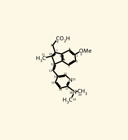 COc1ccc2c(c1)C(CC(=O)O)=C(C)/C2=C/c1ccc(N(C)C)nc1